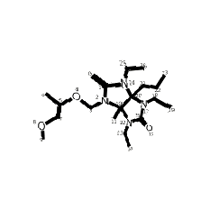 C=C1N(COC(C)COC)C2(C)N(CC)C(=O)N(CC)C2(CCC)N1CC